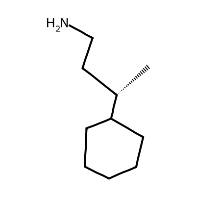 C[C@@H](CCN)C1CCCCC1